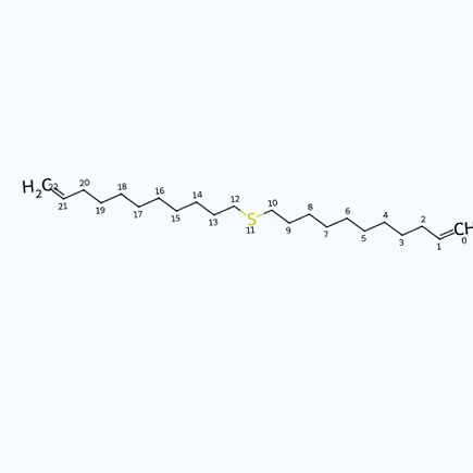 C=CCCCCCCCCCSCCCCCCCCCC=C